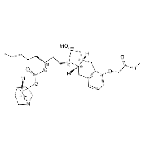 CCCCC[C@@H](CC[C@@H]1[C@H]2Cc3cccc(OCC(=O)OC)c3C[C@H]2C[C@H]1O)OC(=O)O[C@@H]1CN2CCC1CC2